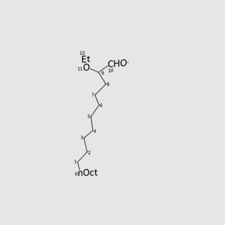 CCCCCCCCCCCCCCCCC([C]=O)OCC